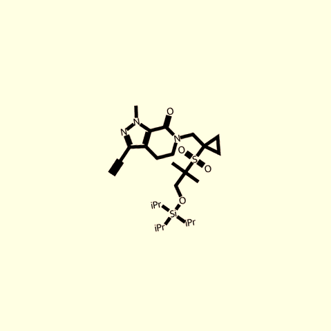 C#Cc1nn(C)c2c1CCN(CC1(S(=O)(=O)C(C)(C)CO[Si](C(C)C)(C(C)C)C(C)C)CC1)C2=O